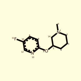 CN1CCCC(Oc2ccc(F)cn2)C1